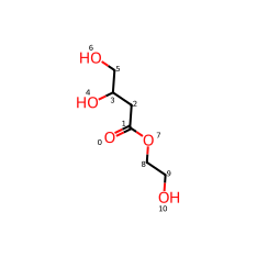 O=C(CC(O)CO)OCCO